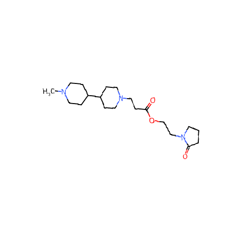 CN1CCC(C2CCN(CCC(=O)OCCN3CCCC3=O)CC2)CC1